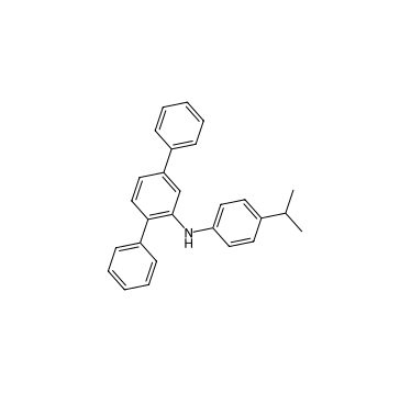 CC(C)c1ccc(Nc2cc(-c3ccccc3)ccc2-c2ccccc2)cc1